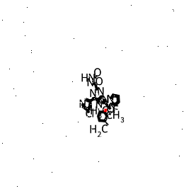 C=C[C@H]1CC[C@H](Cn2c(C(C)(OC)c3ncccc3F)nc3nc(-c4n[nH]c(=O)o4)nc(-c4cncc(Cl)c4)c32)CC1